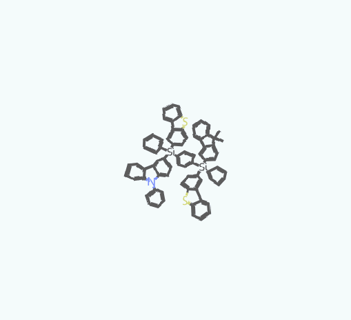 CC1(C)c2ccccc2-c2cc([Si](c3ccccc3)(c3ccc([Si](c4ccccc4)(c4ccc5sc6ccccc6c5c4)c4ccc5c(c4)c4ccccc4n5-c4ccccc4)cc3)c3ccc4sc5ccccc5c4c3)ccc21